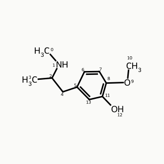 CNC(C)Cc1ccc(OC)c(O)c1